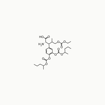 CCCC(C)OC(=O)Oc1ccc(C(C(C)COC(=O)OCC)[C@H](N)C(=O)O)cc1OC(=O)OC(C)CCC